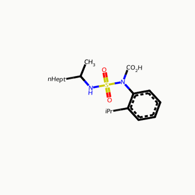 CCCCCCCC(C)NS(=O)(=O)N(C(=O)O)c1ccccc1C(C)C